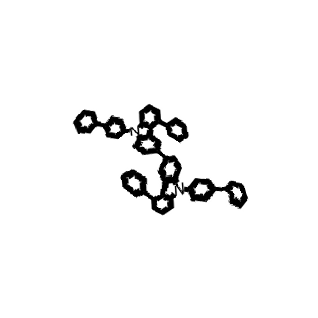 c1ccc(-c2ccc(-n3c4ccc(-c5ccc6c(c5)c5c(-c7ccccc7)cccc5n6-c5ccc(-c6ccccc6)cc5)cc4c4c(-c5ccccc5)cccc43)cc2)cc1